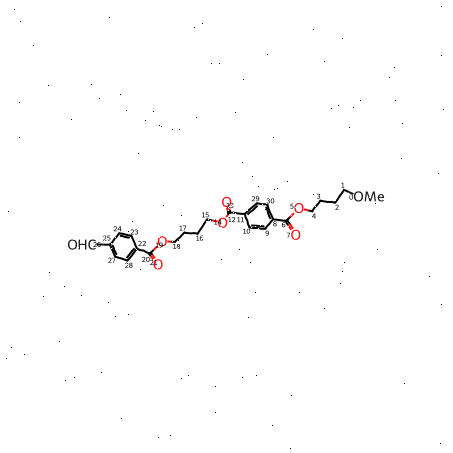 COCCCCOC(=O)c1ccc(C(=O)OCCCCOC(=O)c2ccc(C=O)cc2)cc1